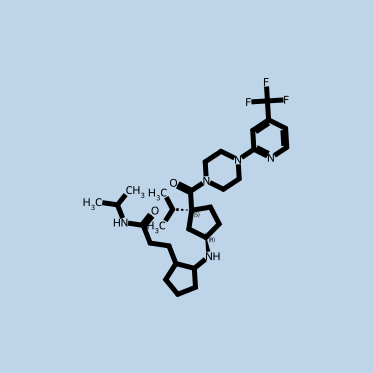 CC(C)NC(=O)CCC1CCCC1N[C@@H]1CC[C@@](C(=O)N2CCN(c3cc(C(F)(F)F)ccn3)CC2)(C(C)C)C1